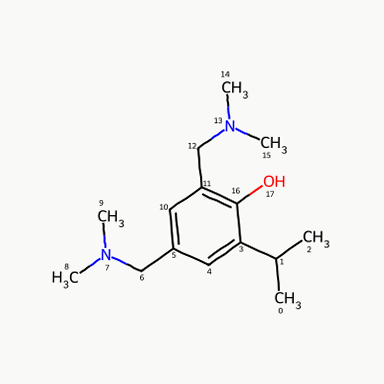 CC(C)c1cc(CN(C)C)cc(CN(C)C)c1O